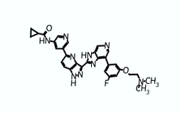 CN(C)CCOc1cc(F)cc(-c2cncc3[nH]c(-c4n[nH]c5ccc(-c6cncc(NC(=O)C7CC7)c6)nc45)nc23)c1